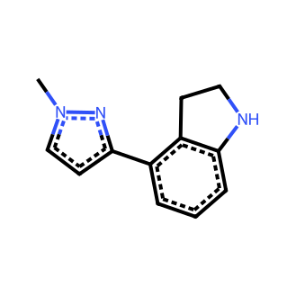 Cn1ccc(-c2cccc3c2CCN3)n1